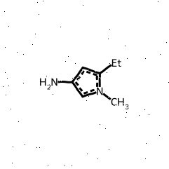 CCc1cc(N)cn1C